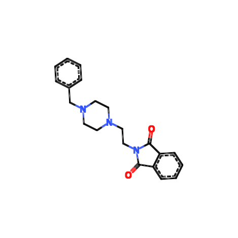 O=C1c2ccccc2C(=O)N1CCN1CCN(Cc2ccccc2)CC1